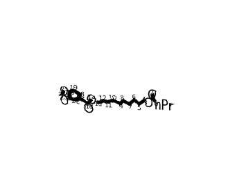 CCCC(=O)OCCCCCCCCCCOC(=O)c1ccc2c(c1)OCO2